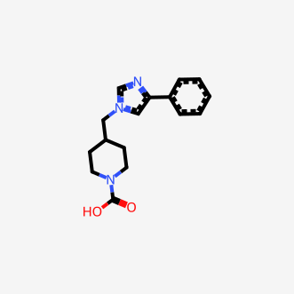 O=C(O)N1CCC(Cn2cnc(-c3ccccc3)c2)CC1